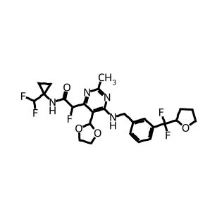 Cc1nc(NCc2cccc(C(F)(F)C3CCCO3)c2)c(C2OCCO2)c(C(F)C(=O)NC2(C(F)F)CC2)n1